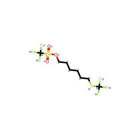 O=S(=O)(OCCCCCCSC(F)(F)F)C(F)(F)F